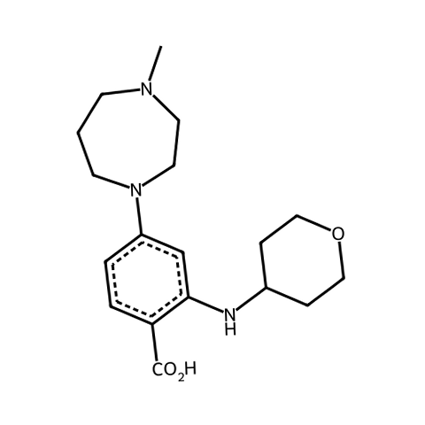 CN1CCCN(c2ccc(C(=O)O)c(NC3CCOCC3)c2)CC1